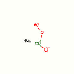 [NaH].[O-][Cl+]OO